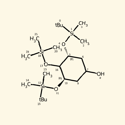 CC(C)(C)[Si](C)(C)O[C@@H]1CC(O)C[C@@H](O[Si](C)(C)C(C)(C)C)C1O[Si](C)(C)C